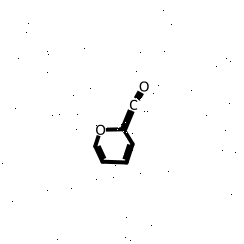 O=C=C1C=CC=CO1